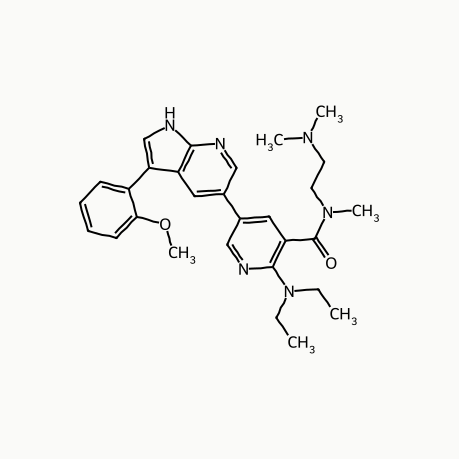 CCN(CC)c1ncc(-c2cnc3[nH]cc(-c4ccccc4OC)c3c2)cc1C(=O)N(C)CCN(C)C